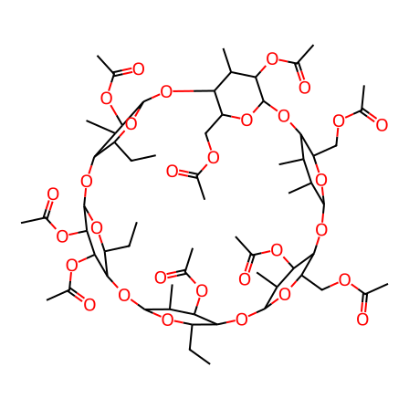 CCC1OC2OC3C(COC(C)=O)OC(OC4C(COC(C)=O)OC(OC5C(COC(C)=O)OC(OC6C(CC)OC(OC7C(CC)OC(OC1C(C)C2OC(C)=O)C(OC(C)=O)C7OC(C)=O)C(C)C6OC(C)=O)C(C)C5OC(C)=O)C(C)C4C)C(OC(C)=O)C3C